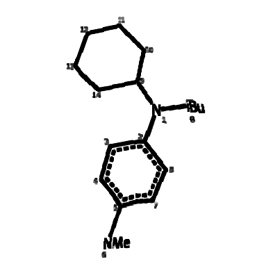 CCC(C)N(c1ccc(NC)cc1)C1CCCCC1